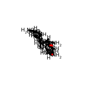 CC(C)C[C@H](NC(=O)CNC(=O)[C@H](C)NC(=O)[C@H](CCC(N)=O)NC(=O)[C@H](C)NC(=O)[C@@H](NC(=O)[C@H](Cc1ccc(O)cc1)NC(=O)[C@H](CS)NC(=O)[C@H](CO)NC(=O)CNC(=O)CNC(=O)[C@@H](N)CC(N)=O)C(C)C)C(=O)N[C@@H](CCCCN)C(=O)N[C@@H](CC(C)C)C(=O)N[C@@H](C)C(=O)N[C@@H](CO)C(=O)N[C@@H](CS)C(=O)N[C@@H](CC(N)=O)C(=O)N1CCC[C@H]1C(=O)N[C@@H](CO)C(=O)N[C@@H](CCCCN)C(=O)O